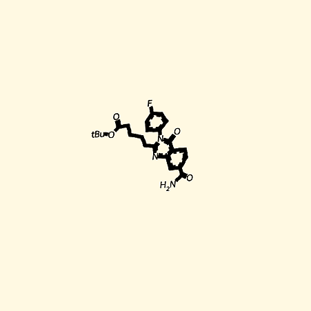 CC(C)(C)OC(=O)CCCCc1nc2cc(C(N)=O)ccc2c(=O)n1-c1ccc(F)cc1